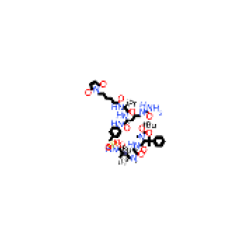 C/C(=C\[C@H](C(C)C)N(C)C(=O)[C@@H](NC(=O)[C@@H](N(C)C(=O)OC(C)(C)C)C(C)(C)c1ccccc1)C(C)(C)C)C(=O)NS(=O)(=O)Cc1ccc(NC(=O)[C@H](CCCNC(N)=O)NC(=O)[C@@H](NC(=O)CCCCCN2C(=O)C=CC2=O)C(C)C)cc1